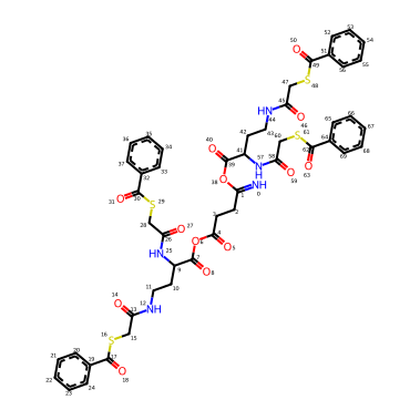 N=C(CCC(=O)OC(=O)C(CCNC(=O)CSC(=O)c1ccccc1)NC(=O)CSC(=O)c1ccccc1)OC(=O)C(CCNC(=O)CSC(=O)c1ccccc1)NC(=O)CSC(=O)c1ccccc1